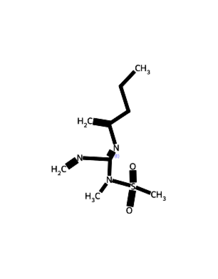 C=N/C(=N\C(=C)CCC)N(C)S(C)(=O)=O